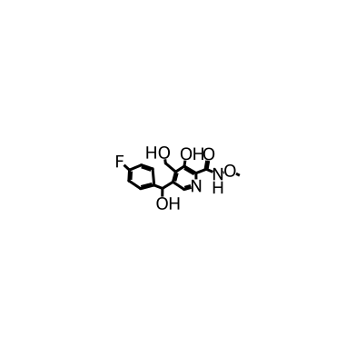 CONC(=O)c1ncc(C(O)c2ccc(F)cc2)c(CO)c1O